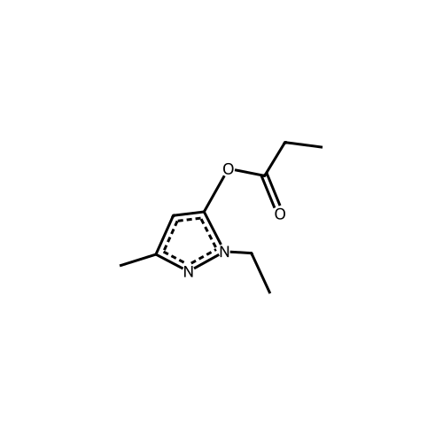 CCC(=O)Oc1cc(C)nn1CC